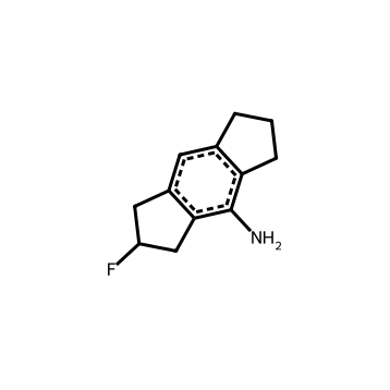 Nc1c2c(cc3c1CC(F)C3)CCC2